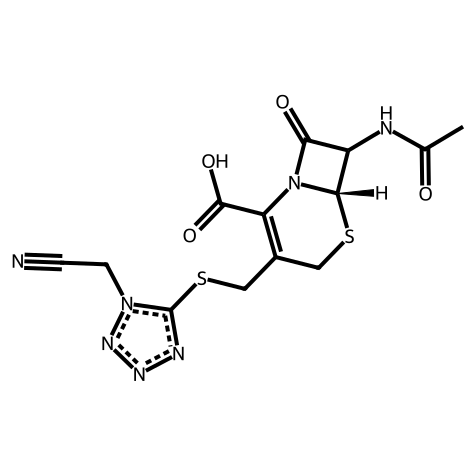 CC(=O)NC1C(=O)N2C(C(=O)O)=C(CSc3nnnn3CC#N)CS[C@@H]12